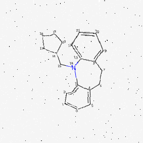 c1ccc2c(c1)CCc1ccccc1N2CC1CCCC1